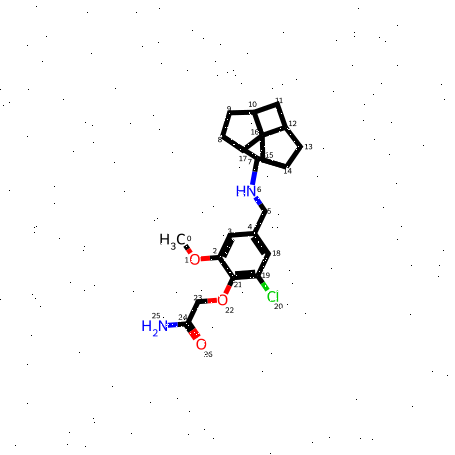 COc1cc(CNC2C3CC4CC5CC2CC45C3)cc(Cl)c1OCC(N)=O